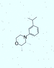 CC(C)c1cccc(N2CCO[C@@H](C)[C@H]2C)c1